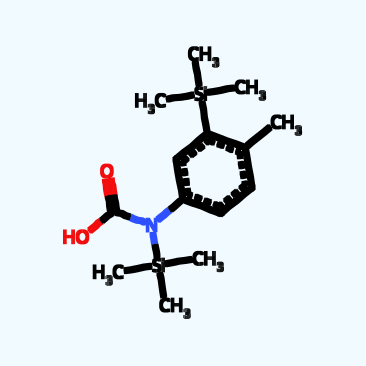 Cc1ccc(N(C(=O)O)[Si](C)(C)C)cc1[Si](C)(C)C